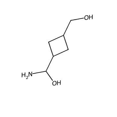 NC(O)C1CC(CO)C1